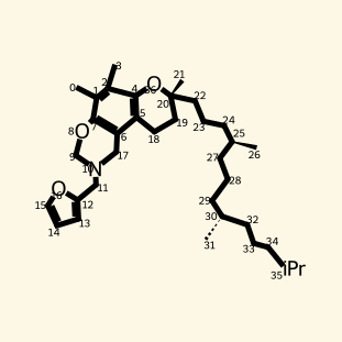 Cc1c(C)c2c(c3c1OCN(Cc1ccco1)C3)CC[C@@](C)(CCC[C@@H](C)CCC[C@@H](C)CCCC(C)C)O2